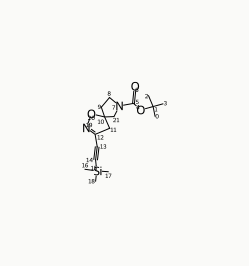 CC(C)(C)OC(=O)N1CCC2(CC(C#C[Si](C)(C)C)=NO2)C1